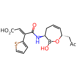 CC(=O)C[C@H]1C=CC[C@H](NC(=O)/C(=C/C(=O)O)c2cccs2)B(O)O1